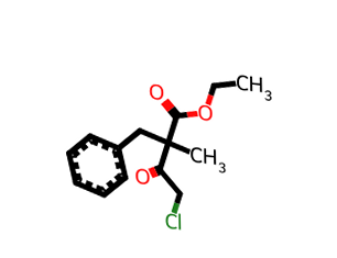 CCOC(=O)C(C)(Cc1ccccc1)C(=O)CCl